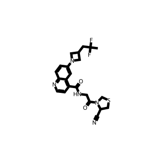 CC(F)(F)CC1CN(c2ccc3nccc(C(=O)NCC(=O)N4CSCC4C#N)c3c2)C1